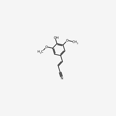 COc1cc(C=CC#N)cc(OC)c1O